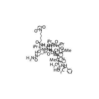 CC[C@H](C)[C@@H]([C@@H](CC(=O)N1CCC[C@H]1[C@H](OC)[C@@H](C)C(=O)N[C@@H](Cc1ccccc1)C(=O)O)OC)N(C)C(=O)[C@@H](NC(=O)[C@H](C(C)C)N(C)C[C@@H](C)NC(=O)[C@H](CCCNC(N)=O)NC(=O)[C@@H](NC(=O)CCCCCN1C(=O)C=CC1=O)C(C)C)C(C)C